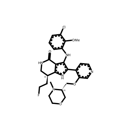 COc1c(Cl)cccc1Nc1c(-c2ccncc2OC[C@@H]2COCCN2C)[nH]c2c1C(=O)NC[C@@H]2CCF